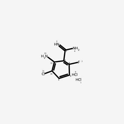 Cl.Cl.N=C(N)c1c(F)ccc(Cl)c1N